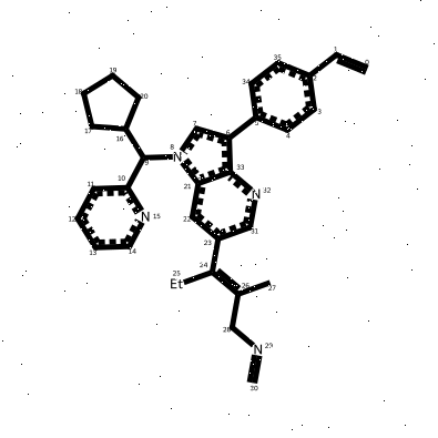 C=Cc1ccc(-c2cn(C(c3ccccn3)C3CCCC3)c3cc(/C(CC)=C(\C)CN=C)cnc23)cc1